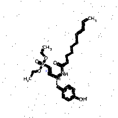 CCCCCCCCCC(=O)N[C@@H](/C=C/P(=O)(OCC)OCC)Cc1ccc(O)cc1